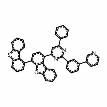 c1ccc(-c2cc(-c3ccc(-c4cccc5sc6ccccc6c45)c4oc5ccccc5c34)nc(-c3cccc(-c4cccnc4)c3)n2)cc1